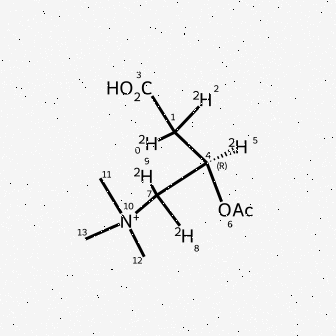 [2H]C([2H])(C(=O)O)[C@@]([2H])(OC(C)=O)C([2H])([2H])[N+](C)(C)C